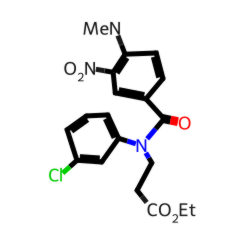 CCOC(=O)CCN(C(=O)c1ccc(NC)c([N+](=O)[O-])c1)c1cccc(Cl)c1